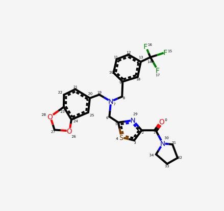 O=C(c1csc(CN(Cc2cccc(C(F)(F)F)c2)Cc2ccc3c(c2)OCO3)n1)N1CCCC1